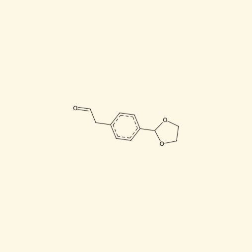 O=CCc1ccc(C2OCCO2)cc1